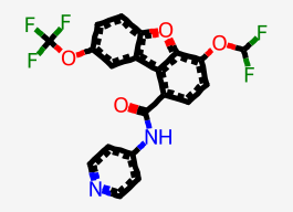 O=C(Nc1ccncc1)c1ccc(OC(F)F)c2oc3ccc(OC(F)(F)F)cc3c12